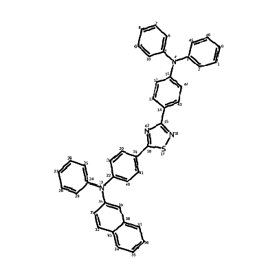 c1ccc(N(c2ccccc2)c2ccc(-c3nsc(-c4ccc(N(c5ccccc5)c5ccc6ccccc6c5)cc4)n3)cc2)cc1